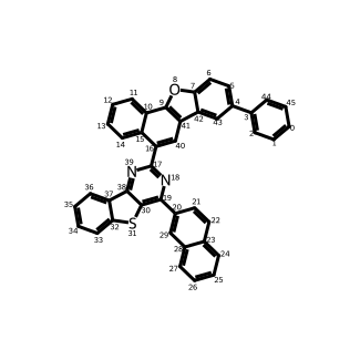 c1ccc(-c2ccc3oc4c5ccccc5c(-c5nc(-c6ccc7ccccc7c6)c6sc7ccccc7c6n5)cc4c3c2)cc1